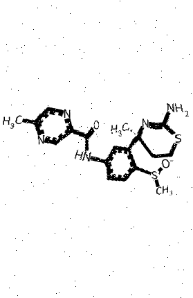 Cc1cnc(C(=O)Nc2ccc([S+](C)[O-])c([C@]3(C)CCSC(N)=N3)c2)cn1